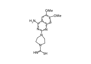 COc1cc2nc(N3CCN(C(=N)S)CC3)nc(N)c2cc1OC